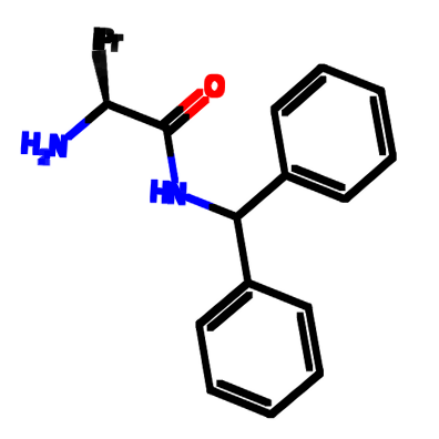 CC(C)[C@H](N)C(=O)NC(c1ccccc1)c1ccccc1